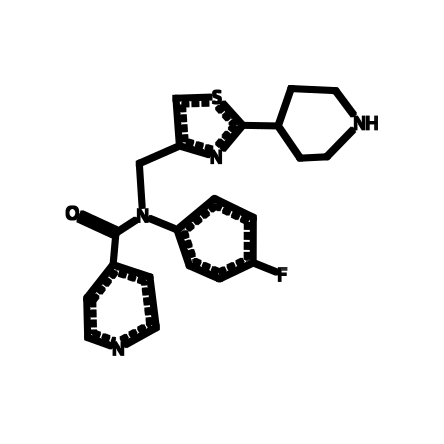 O=C(c1ccncc1)N(Cc1csc(C2CCNCC2)n1)c1ccc(F)cc1